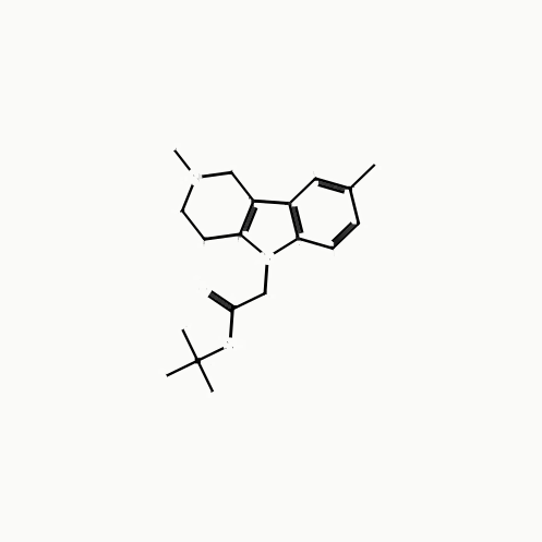 Cc1ccc2c(c1)c1c(n2CC(=O)NC(C)(C)C)CCN(C)C1